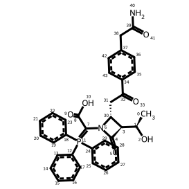 C[C@@H](O)[C@H]1C(=O)N(C(C(=O)O)=P(c2ccccc2)(c2ccccc2)c2ccccc2)[C@@H]1CC(=O)c1ccc(CC(N)=O)cc1